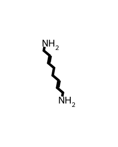 NC/C=C/CC/C=C/CN